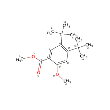 COC(=O)c1cc(C(C)(C)C)c(C(C)(C)C)cc1OC